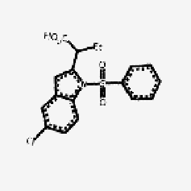 CCC(C(=O)O)c1cc2cc(Cl)ccc2n1S(=O)(=O)c1ccccc1